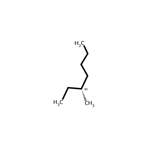 [CH2]CCC[C@H](C)CC